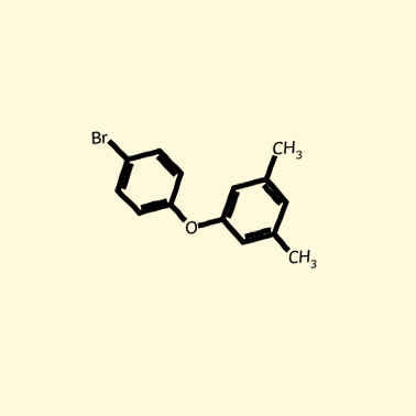 Cc1cc(C)cc(Oc2ccc(Br)cc2)c1